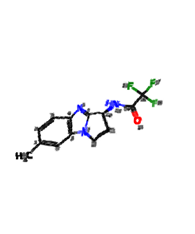 Cc1ccc2nc3n(c2c1)CC[C@@H]3NC(=O)C(F)(F)F